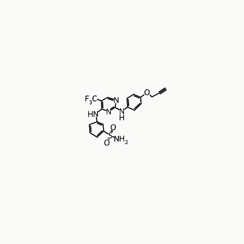 C#CCOc1ccc(Nc2ncc(C(F)(F)F)c(Nc3cccc(S(N)(=O)=O)c3)n2)cc1